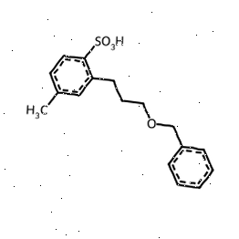 Cc1ccc(S(=O)(=O)O)c(CCCOCc2ccccc2)c1